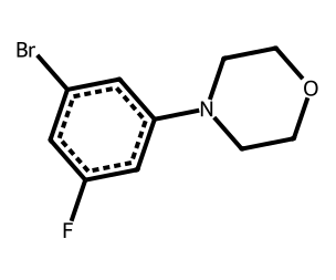 Fc1cc(Br)cc(N2CCOCC2)c1